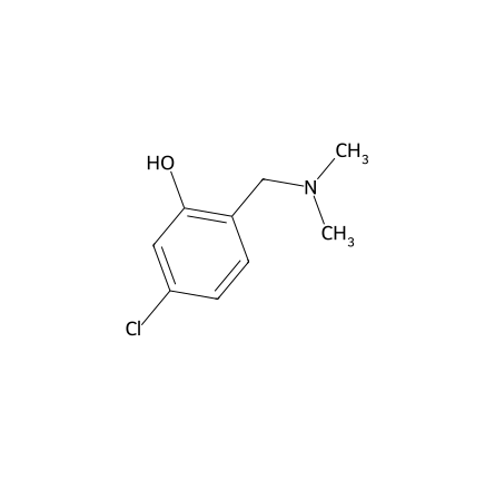 CN(C)Cc1ccc(Cl)cc1O